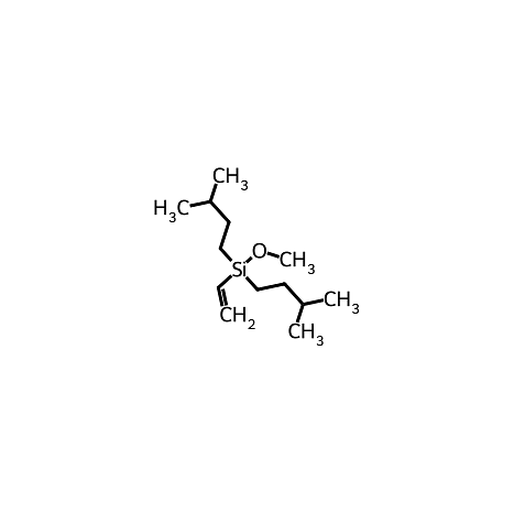 C=C[Si](CCC(C)C)(CCC(C)C)OC